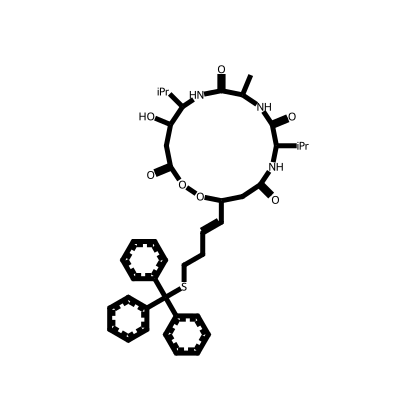 CC1NC(=O)C(C(C)C)NC(=O)CC(/C=C/CCSC(c2ccccc2)(c2ccccc2)c2ccccc2)OOC(=O)CC(O)C(C(C)C)NC1=O